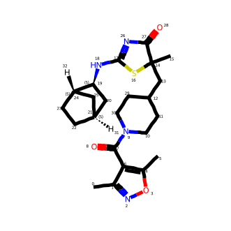 Cc1noc(C)c1C(=O)N1CCC(CC2(C)SC(N[C@H]3C[C@H]4CC[C@H]3C4)=NC2=O)CC1